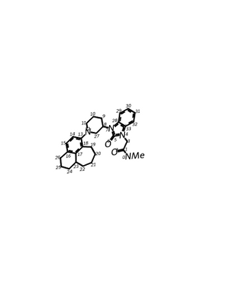 CNC(=O)Cn1c(=O)n(C2CCCN(c3ccc4c5c3CCCCC5CCC4)C2)c2ccccc21